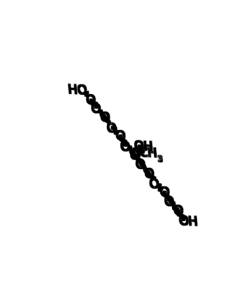 CC(=O)O.OCCOCCOCCOCCOCCOCCOCCOCCOCCOCCOCCOCCOCCOCCO